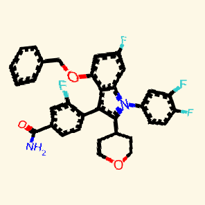 NC(=O)c1ccc(-c2c(C3CCOCC3)n(-c3ccc(F)c(F)c3)c3cc(F)cc(OCc4ccccc4)c23)c(F)c1